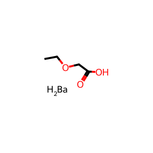 CCOCC(=O)O.[BaH2]